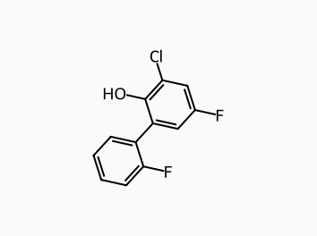 Oc1c(Cl)cc(F)cc1-c1ccccc1F